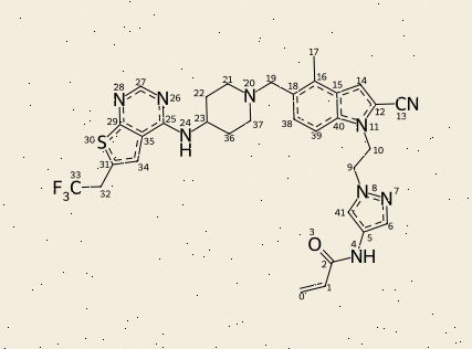 C=CC(=O)Nc1cnn(CCn2c(C#N)cc3c(C)c(CN4CCC(Nc5ncnc6sc(CC(F)(F)F)cc56)CC4)ccc32)c1